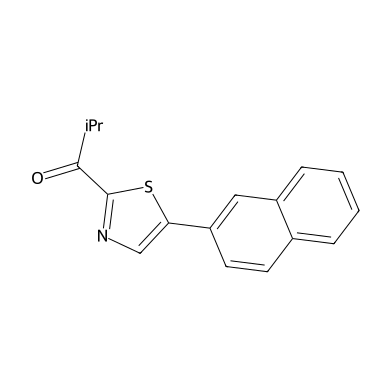 CC(C)C(=O)c1ncc(-c2ccc3ccccc3c2)s1